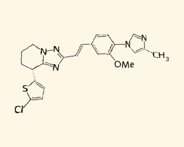 COc1cc(/C=C/c2nc3n(n2)CCC[C@H]3c2ccc(Cl)s2)ccc1-n1cnc(C)c1